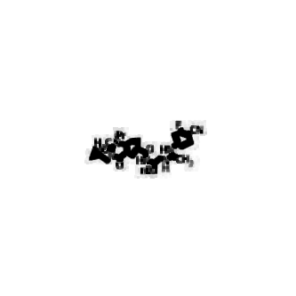 C=C(NCC(CCCC)NC(=O)c1ccc2c(c1)C(=O)N(CC1CC1)C(C)(O)N2C(C)C)Nc1ccc(C#N)c(F)c1